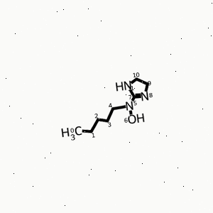 CCCCCN(O)C1=NCCN1